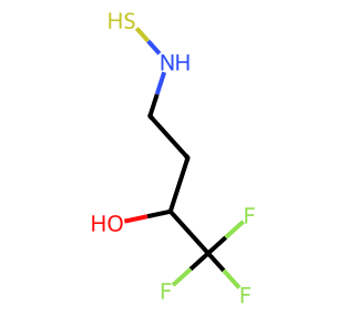 OC(CCNS)C(F)(F)F